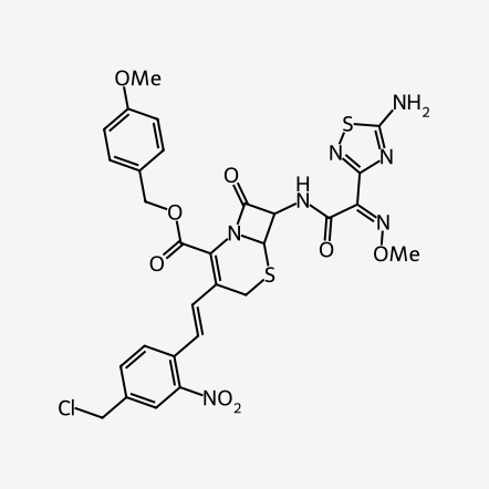 CO/N=C(\C(=O)NC1C(=O)N2C(C(=O)OCc3ccc(OC)cc3)=C(/C=C/c3ccc(CCl)cc3[N+](=O)[O-])CSC12)c1nsc(N)n1